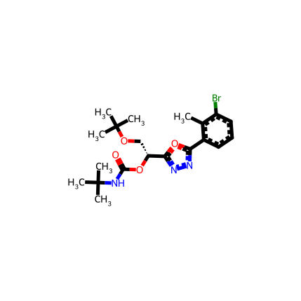 Cc1c(Br)cccc1-c1nnc([C@@H](COC(C)(C)C)OC(=O)NC(C)(C)C)o1